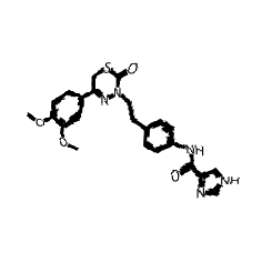 COc1ccc(C2=NN(CCc3ccc(NC(=O)c4c[nH]cn4)cc3)C(=O)SC2)cc1OC